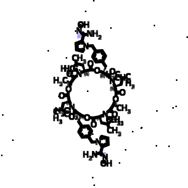 CC(C)C[C@H]1C(=O)O[C@H](Cc2ccc(Cn3cccc3/C(N)=N/O)cc2)C(=O)N(C)[C@@H](CC(C)C)C(=O)O[C@H](C)C(=O)N(C)[C@@H](CC(C)C)C(=O)O[C@H](Cc2ccc(Cn3cccc3/C(N)=N/O)cc2)C(=O)N(C)[C@@H](CC(C)C)C(=O)O[C@H](C)C(=O)N1C